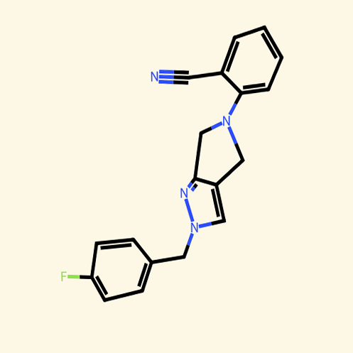 N#Cc1ccccc1N1Cc2cn(Cc3ccc(F)cc3)nc2C1